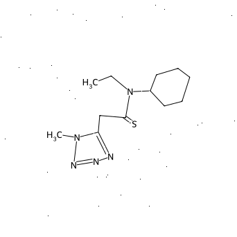 CCN(C(=S)Cc1nnnn1C)C1CCCCC1